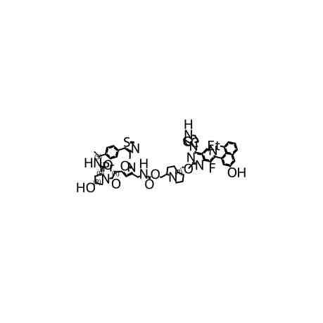 CCc1cccc2cc(O)cc(-c3ncc4c(N5CC6CCCC5CN6)nc(OC[C@]56CCCN5C(COC(=O)NCc5cc([C@H](C(=O)N7C[C@H](O)C[C@H]7C(=O)N[C@@H](C)c7ccc(-c8scnc8C)cc7)C(C)C)on5)CC6)nc4c3F)c12